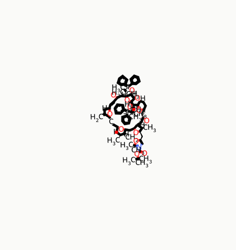 C=C1C[C@@H]2/C=C/C(=O)C[C@H]3O[C@H]4[C@@H](O[Si](c5ccccc5)(c5ccccc5)C(C)(C)C)[C@H]5OC(CC[C@@H]5O[C@H]4[C@H]3O[Si](c3ccccc3)(c3ccccc3)C(C)(C)C)CC(=O)C[C@H]3C(C[C@H]4O[C@@H](CCC1O2)C[C@@H](C)C4=C)O[C@H](C[C@H]1CN(C(=O)OC(C)(C)C)C(C)(C)O1)[C@@H]3C